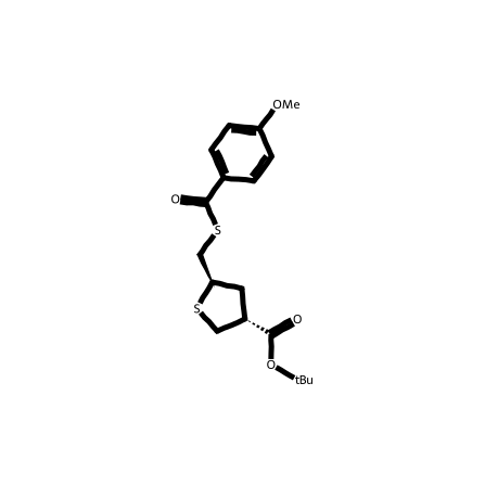 COc1ccc(C(=O)SC[C@H]2C[C@H](C(=O)OC(C)(C)C)CS2)cc1